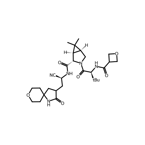 CC(C)(C)[C@H](NC(=O)C1COC1)C(=O)N1C[C@H]2[C@@H]([C@H]1C(=O)N[C@H](C#N)CC1CC3(CCOCC3)NC1=O)C2(C)C